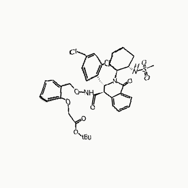 CC(C)(C)OC(=O)COc1ccccc1CONC(=O)[C@@H]1c2ccccc2C(=O)N([C@H]2CCCC[C@@H]2NS(C)(=O)=O)[C@H]1c1ccc(Cl)cc1Cl